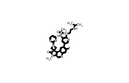 CC(C)NCCOc1ncc(-c2cc3c4c(cnc3cc2F)N(C)C(=O)C42CN(c3ncccn3)C2)cc1NS(C)(=O)=O